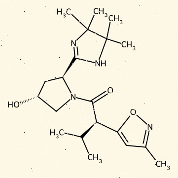 Cc1cc([C@H](C(=O)N2C[C@H](O)C[C@H]2C2=NC(C)(C)C(C)(C)N2)C(C)C)on1